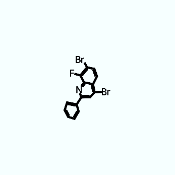 Fc1c(Br)ccc2c(Br)cc(-c3ccccc3)nc12